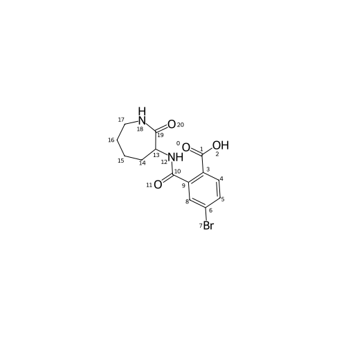 O=C(O)c1ccc(Br)cc1C(=O)NC1CCCCNC1=O